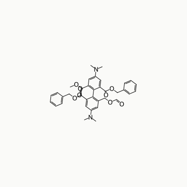 COC(=O)c1cc(N(C)C)cc(C(=O)OCc2ccccc2)c1-c1c(COC=O)cc(N(C)C)cc1C(=O)OCc1ccccc1